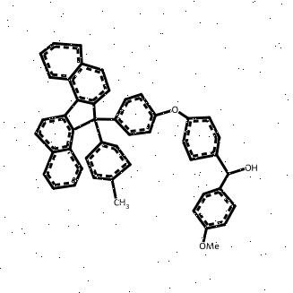 COc1ccc(C(O)c2ccc(Oc3ccc(C4(c5ccc(C)cc5)c5ccc6ccccc6c5-c5ccc6ccccc6c54)cc3)cc2)cc1